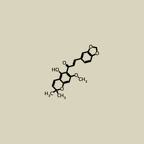 COc1cc2c(c(O)c1C(=O)C=Cc1ccc3c(c1)OCO3)C=CC(C)(C)O2